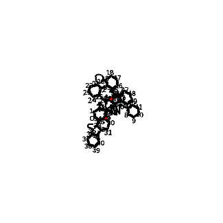 c1ccc(-c2nc(-c3ccccc3)nc(-c3cccc4oc5cccc(-c6nc(-c7ccc8c(c7)sc7ccccc78)nc7c6sc6ccccc67)c5c34)n2)cc1